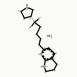 Cl.FC(F)(CCCCc1ccc2c(n1)NCCC2)[C@@H]1CCNC1